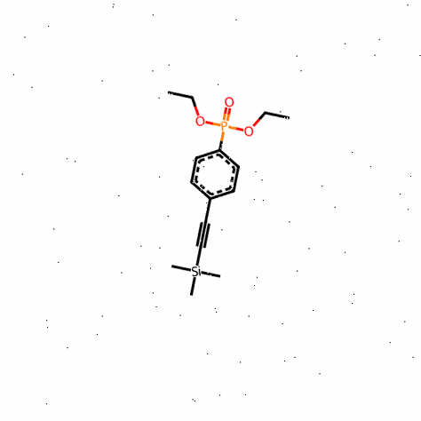 CCOP(=O)(OCC)c1ccc(C#C[Si](C)(C)C)cc1